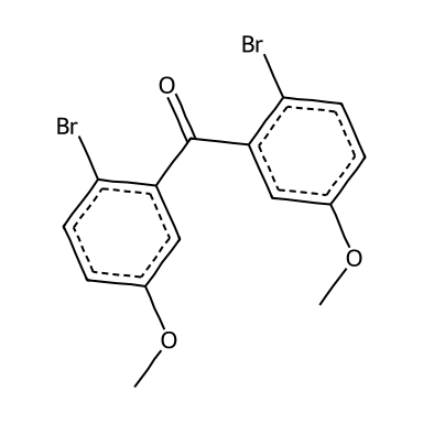 COc1ccc(Br)c(C(=O)c2cc(OC)ccc2Br)c1